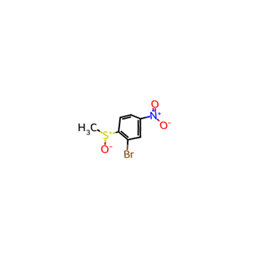 C[S+]([O-])c1ccc([N+](=O)[O-])cc1Br